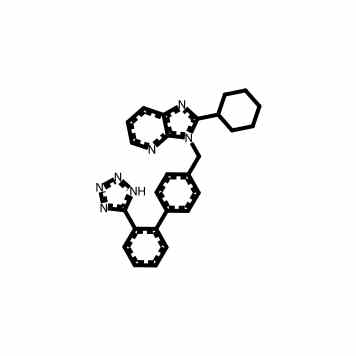 c1ccc(-c2nnn[nH]2)c(-c2ccc(Cn3c(C4CCCCC4)nc4cccnc43)cc2)c1